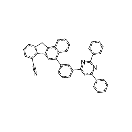 N#Cc1cccc2c1-c1cc(-c3cccc(-c4cc(-c5ccccc5)nc(-c5ccccc5)n4)c3)c3ccccc3c1C2